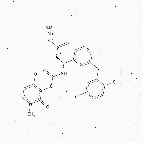 Cc1ccc(F)cc1Cc1cccc([C@H](CC(=O)[O-])NC(=O)Nc2c([O-])ccn(C)c2=O)c1.[Na+].[Na+]